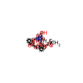 C=C(C)C(=O)OCCOC(=O)c1ccccc1C(=O)OCCn1c(=O)n(CCO)c(=O)n(CCOC(=O)c2ccccc2C(=O)OCCOC=O)c1=O